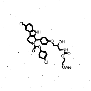 COCCOC(=O)NCC(O)COc1ccc(C2c3[nH]c4ccc(Cl)cc4c3CCN2C(=O)Oc2ccc(Cl)cc2)cc1